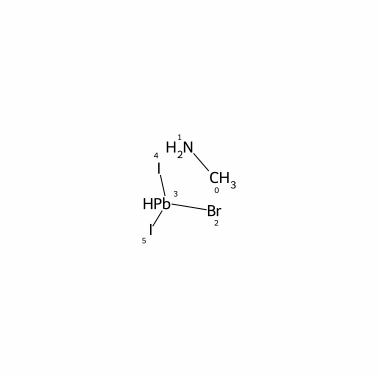 CN.[Br][PbH]([I])[I]